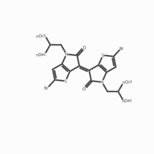 CCCCCCCCCCC(CCCCCCCC)CN1C(=O)C(=C2C(=O)N(CC(CCCCCCCC)CCCCCCCCCC)c3cc(Br)sc32)c2sc(Br)cc21